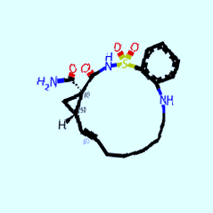 NC(=O)[C@@]12C[C@H]1/C=C/CCCCCNc1ccccc1S(=O)(=O)NC2=O